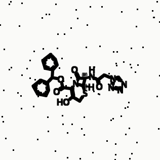 O=C(Cn1cnnn1)N[C@@H]1C(=O)N2C(C(=O)OC(c3ccccc3)c3ccccc3)=C(O)CS[C@H]12